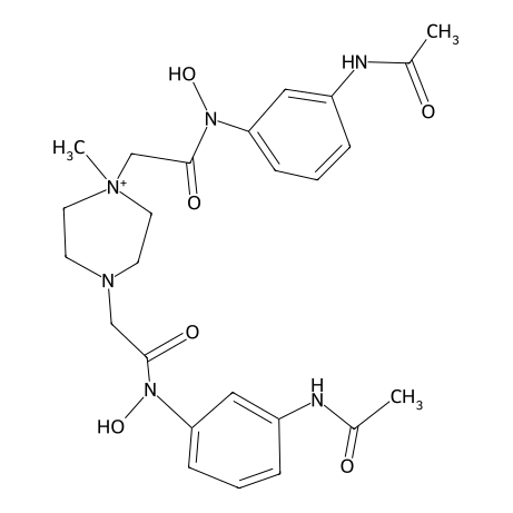 CC(=O)Nc1cccc(N(O)C(=O)CN2CC[N+](C)(CC(=O)N(O)c3cccc(NC(C)=O)c3)CC2)c1